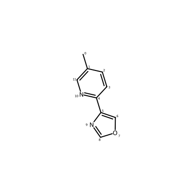 Cc1ccc(-c2cocn2)nc1